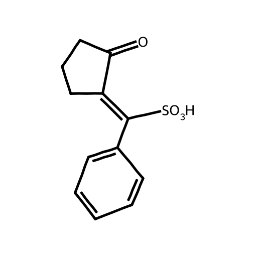 O=C1CCCC1=C(c1ccccc1)S(=O)(=O)O